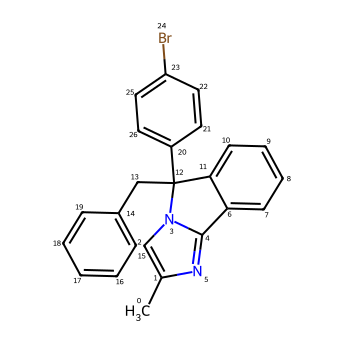 Cc1cn2c(n1)-c1ccccc1C2(Cc1ccccc1)c1ccc(Br)cc1